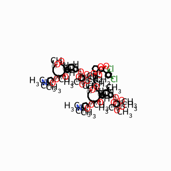 CCC(C)(C)C(=O)OC1=C(c2ccc(Cl)cc2Cl)C(=O)OC12CCCCC2.CC[C@H]1CCC[C@H](O[C@H]2CC[C@H](N(C)C)[C@@H](C)O2)[C@@H](C)C(=O)C2=C[C@@H]3[C@@H](C=C(C)[C@@H]4C[C@@H](O[C@@H]5O[C@@H](C)[C@H](OC)[C@@H](OC)[C@H]5OC)C[C@@H]34)[C@@H]2CC(=O)O1.CC[C@H]1CCC[C@H](O[C@H]2CC[C@H](N(C)C)[C@@H](C)O2)[C@@H](C)C(=O)C2=C[C@@H]3[C@@H](C=C[C@@H]4C[C@@H](O[C@@H]5O[C@@H](C)[C@H](OC)[C@@H](OC)[C@H]5OC)C[C@@H]34)[C@@H]2CC(=O)O1